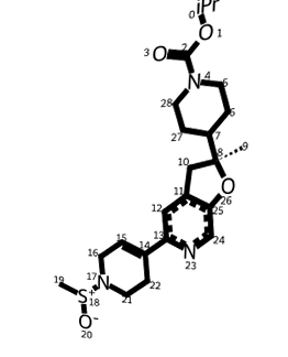 CC(C)OC(=O)N1CCC([C@]2(C)Cc3cc(C4=CCN([S+](C)[O-])CC4)ncc3O2)CC1